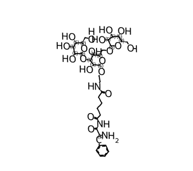 N[C@@H](Cc1ccccc1)C(=O)NC(=O)CCCCC(=O)NCCO[C@H]1O[C@H](CO[C@H]2O[C@H](COI)[C@@H](O)[C@H](O)[C@@H]2O)[C@@H](O)[C@H](O[C@H]2O[C@H](CO)[C@@H](O)[C@H](O)[C@@H]2O)[C@@H]1O